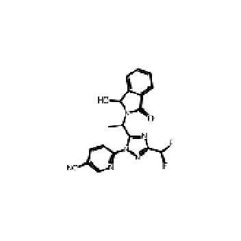 CC(c1nc(C(F)F)nn1-c1ccc(C#N)cn1)N1C(=O)c2ccccc2C1O